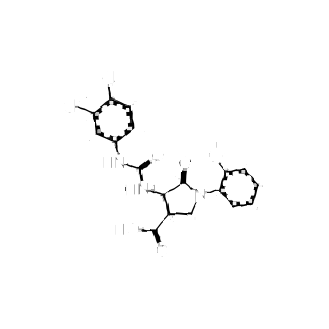 Cc1ccccc1N1CC(C(=O)O)C(NC(=O)Nc2ccc(Cl)c(Cl)c2)C1=O